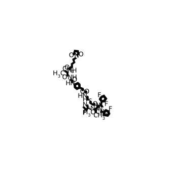 CC(C)C(NC(=O)CCCCCN1C(=O)C=CC1=O)C(=O)NCC(=O)Nc1ccc(COC(=O)NCCSCC(=O)N(C[C@@H]2CNC[C@@H]2F)[C@@H](c2nc(-c3cc(F)ccc3F)cn2Cc2cccc(F)c2)C(C)(C)C)cc1